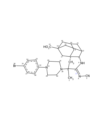 CC(C)(/C(=N/C#N)NC1C2CC3CC1CC(C(=O)O)(C3)C2)N1CCN(c2ccc(Br)cc2)CC1